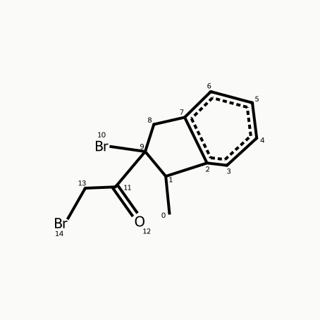 CC1c2ccccc2CC1(Br)C(=O)CBr